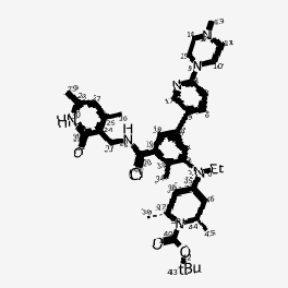 CCN(c1cc(-c2ccc(N3CCN(C)CC3)nc2)cc(C(=O)NCc2c(C)cc(C)[nH]c2=O)c1C)C1C[C@@H](C)N(C(=O)OC(C)(C)C)[C@H](C)C1